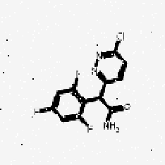 NC(=O)C(c1ccc(Cl)nn1)c1c(F)cc(F)cc1F